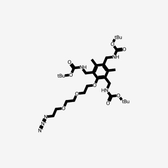 Cc1c(CNC(=O)OC(C)(C)C)c(C)c(CNC(=O)OC(C)(C)C)c(OCCOCCOCCN=[N+]=[N-])c1CNC(=O)OC(C)(C)C